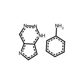 Nc1ccccc1.c1cc2[nH]nncc-2n1